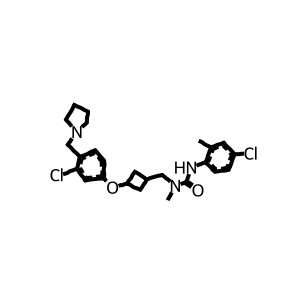 Cc1cc(Cl)ccc1NC(=O)N(C)CC1CC(Oc2ccc(CN3CCCC3)c(Cl)c2)C1